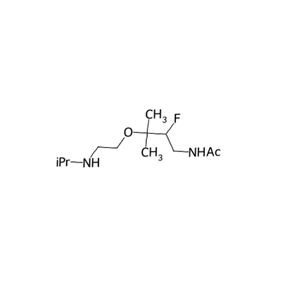 CC(=O)NCC(F)C(C)(C)OCCNC(C)C